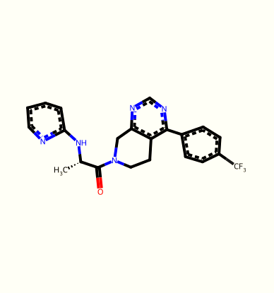 C[C@H](Nc1ccccn1)C(=O)N1CCc2c(ncnc2-c2ccc(C(F)(F)F)cc2)C1